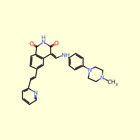 CN1CCN(c2ccc(NC=C3C(=O)NC(=O)c4ccc(C=Cc5ccccn5)cc43)cc2)CC1